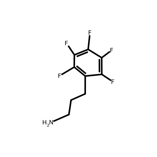 NCCCc1c(F)c(F)c(F)c(F)c1F